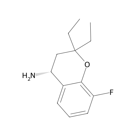 CCC1(CC)C[C@@H](N)c2cccc(F)c2O1